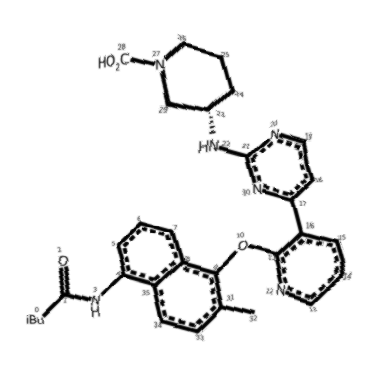 CCC(C)C(=O)Nc1cccc2c(Oc3ncccc3-c3ccnc(N[C@H]4CCCN(C(=O)O)C4)n3)c(C)ccc12